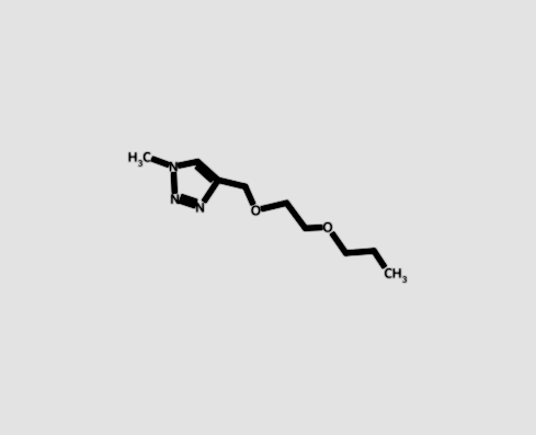 CCCOCCOCc1cn(C)nn1